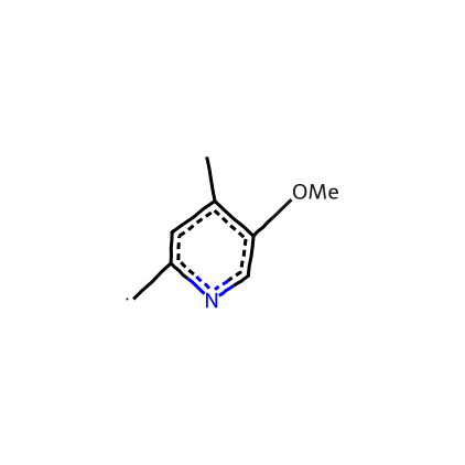 [CH2]c1cc(C)c(OC)cn1